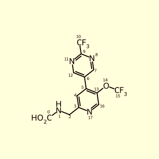 O=C(O)NCc1cc(-c2cnc(C(F)(F)F)nc2)c(OC(F)(F)F)cn1